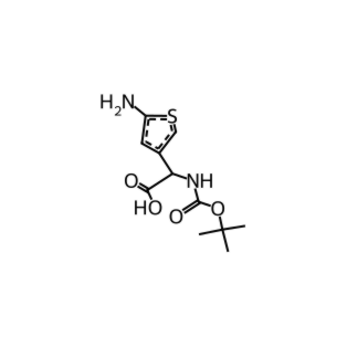 CC(C)(C)OC(=O)NC(C(=O)O)c1csc(N)c1